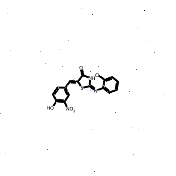 O=C1N/C(=N\c2ccccc2Cl)S/C1=C\c1ccc(O)c([N+](=O)[O-])c1